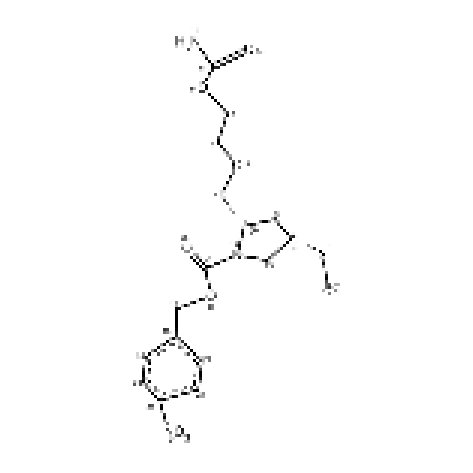 CC(=O)S[C@H]1C[C@@H](COCCOC(N)=O)N(C(=O)OCc2ccc([N+](=O)[O-])cc2)C1